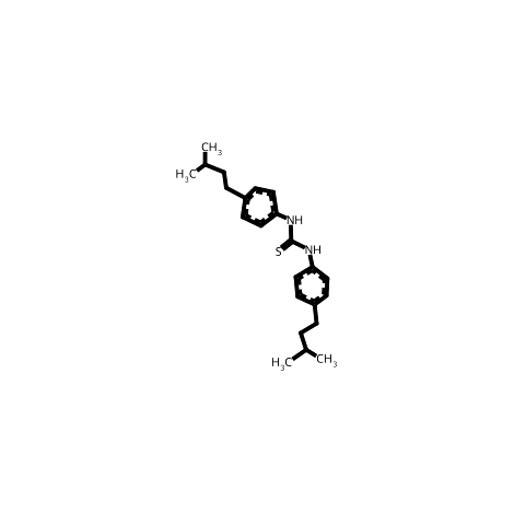 CC(C)CCc1ccc(NC(=S)Nc2ccc(CCC(C)C)cc2)cc1